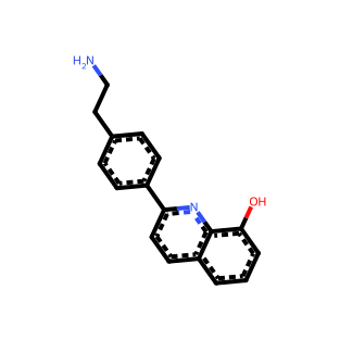 NCCc1ccc(-c2ccc3cccc(O)c3n2)cc1